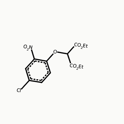 CCOC(=O)C(Oc1ccc(Cl)cc1[N+](=O)[O-])C(=O)OCC